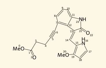 COC(=O)CCC#Cc1cccc2c1/C(=C/c1[nH]ccc1OC)C(=O)N2